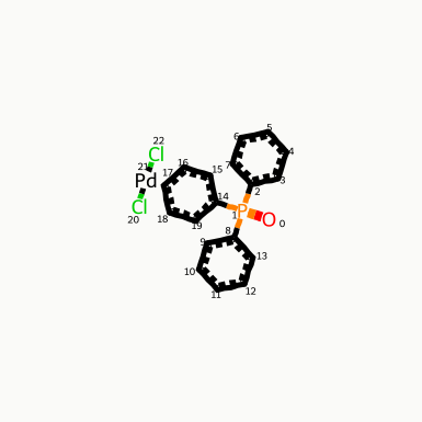 O=P(c1ccccc1)(c1ccccc1)c1ccccc1.[Cl][Pd][Cl]